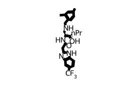 CCC[C@H](O)[C@H](CNCc1ccc(C)cc1C)NC(=O)Cc1nc2cc(C(F)(F)F)ccc2[nH]1